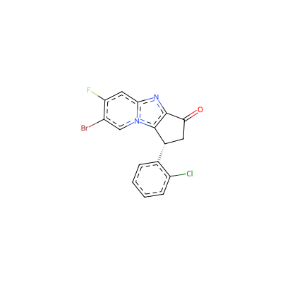 O=C1C[C@H](c2ccccc2Cl)c2c1nc1cc(F)c(Br)cn21